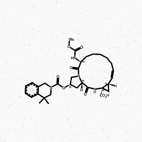 CC(C)(C)OC(=O)N[C@H]1CCCCCC=C[C@@H]2C[C@@]2(C(=O)O)NC(=O)[C@@H]2C[C@@H](OC(=O)N3Cc4ccccc4C(C)(C)C3)CN2C1=O